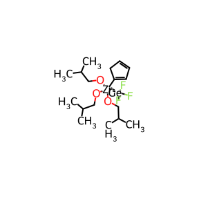 CC(C)C[O][Zr]([O]CC(C)C)([O]CC(C)C)([C]1=CC=CC1)[Ge]([F])([F])[F]